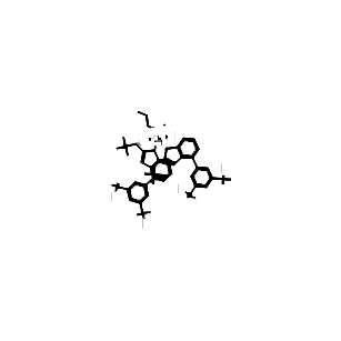 CCC[SiH](C)[Zr]([Cl])([Cl])([CH]1C(CC(C)(C)C)=Cc2c(-c3cc(C(F)(F)F)cc(C(F)(F)F)c3)cccc21)[CH]1C(CC(C)(C)C)=Cc2c(-c3cc(C(F)(F)F)cc(C(F)(F)F)c3)cccc21